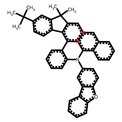 CC(C)(C)c1ccc2c(c1)C(C)(C)c1cccc(-c3ccccc3N(c3ccc4oc5ccccc5c4c3)c3cccc4ccccc34)c1-2